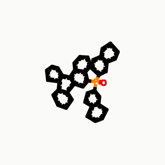 O=P(c1ccc2ccccc2c1)(c1ccc2ccccc2c1)c1cc2c3ccccc3c3ccccc3c2c2ccccc12